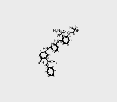 Cc1ccc(Nc2nccc(Nc3cccc(OCC(F)(F)F)c3S(N)(=O)=O)n2)cc1N(C)Cc1ccccc1